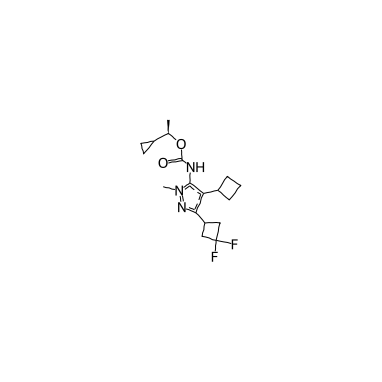 C[C@@H](OC(=O)Nc1c(C2CCC2)c(C2CC(F)(F)C2)nn1C)C1CC1